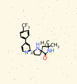 CC1(C)C[C@]2(CC[C@H](c3cc(-c4ccc(C(F)(F)F)cc4)ccn3)N2)C(=O)N1